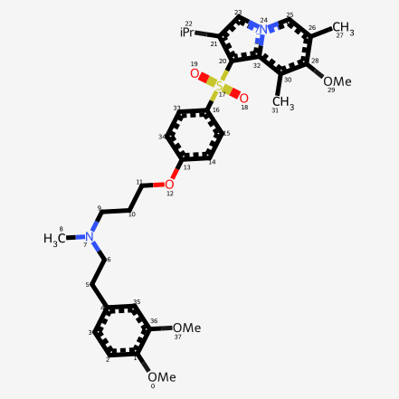 COc1ccc(CCN(C)CCCOc2ccc(S(=O)(=O)c3c(C(C)C)cn4cc(C)c(OC)c(C)c34)cc2)cc1OC